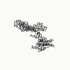 CC(=O)N[C@H]1[C@H](OC[C@H]2O[C@@H](O[C@H]3[C@H](O)[C@@H](O)[C@H](O)O[C@@H]3CO)[C@H](O)[C@@H](O[C@H]3O[C@H](CO)[C@H](O)[C@H](O[C@@H]4O[C@H](CO)[C@H](O)[C@H](O[C@H]5O[C@H](CO)[C@H](O)[C@H](O)[C@H]5NC(C)=O)[C@H]4NC(C)=O)[C@H]3O)[C@H]2O)O[C@H](CO)[C@@H](O[C@@H]2O[C@H](CO)[C@H](O[C@@H]3O[C@H](CO)[C@H](O)[C@H](O)[C@H]3NC(C)=O)[C@H](O[C@]3(C(=O)O)C[C@H](O)[C@@H](NC(C)=O)[C@H]([C@H](O)[C@H](O)CO)O3)[C@H]2O)[C@@H]1O